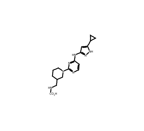 O=C(O)NCC1CCCN(c2nccc(Nc3cc(C4CC4)[nH]n3)n2)C1